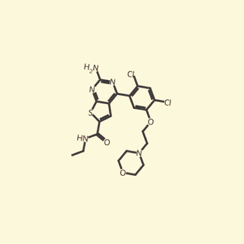 CCNC(=O)c1cc2c(-c3cc(OCCN4CCOCC4)c(Cl)cc3Cl)nc(N)nc2s1